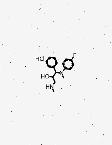 CNCC(O)C(c1ccccc1)N(C)c1ccc(F)cc1.Cl